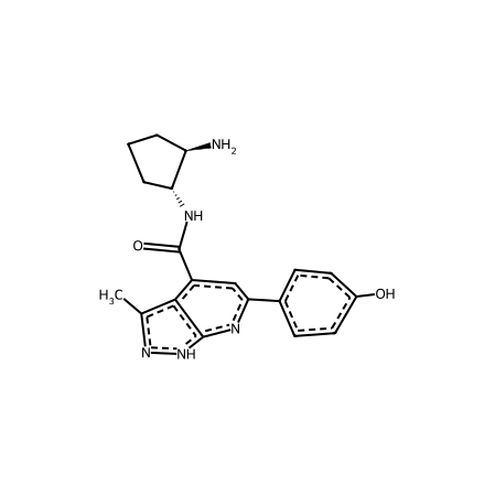 Cc1n[nH]c2nc(-c3ccc(O)cc3)cc(C(=O)N[C@@H]3CCC[C@H]3N)c12